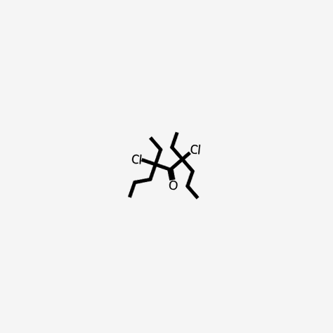 CCCC(Cl)(CC)C(=O)C(Cl)(CC)CCC